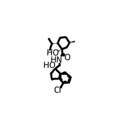 CC(C)[C@@H]1CC[C@@H](C)C[C@@]1(O)C(=O)NCC1(O)CCc2c(Cl)cccc21